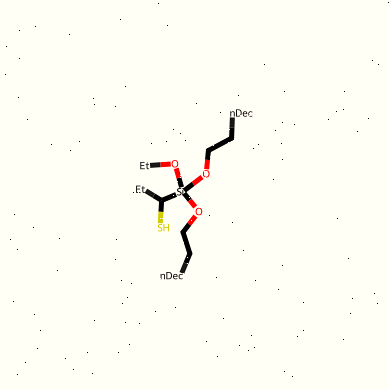 CCCCCCCCCCCCO[Si](OCC)(OCCCCCCCCCCCC)C(S)CC